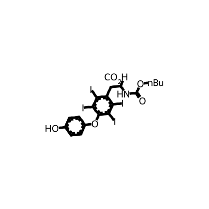 CCCCOC(=O)NC(Cc1c(I)c(I)c(Oc2ccc(O)cc2)c(I)c1I)C(=O)O